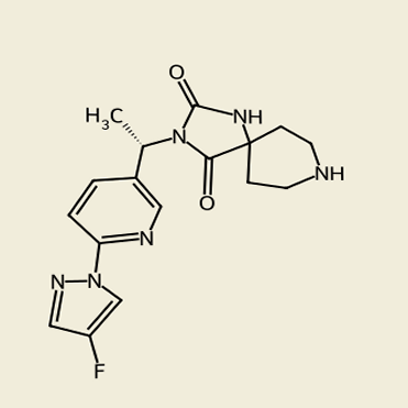 C[C@@H](c1ccc(-n2cc(F)cn2)nc1)N1C(=O)NC2(CCNCC2)C1=O